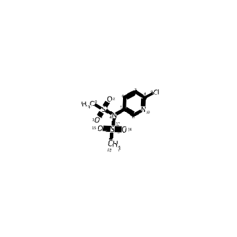 CS(=O)(=O)N(c1ccc(Cl)nc1)S(C)(=O)=O